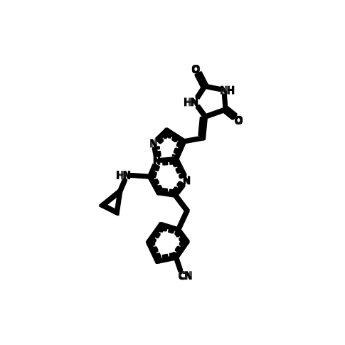 N#Cc1cccc(Cc2cc(NC3CC3)n3ncc(/C=C4\NC(=O)NC4=O)c3n2)c1